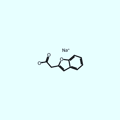 O=C([O-])Cc1cc2ccccc2o1.[Na+]